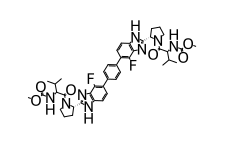 COC(=O)N[C@H](C(=O)N1CCC[C@H]1c1nc2c(F)c(-c3ccc(-c4ccc5[nH]c([C@@H]6CCCN6C(=O)[C@@H](NC(=O)OC)C(C)C)nc5c4F)cc3)ccc2[nH]1)C(C)C